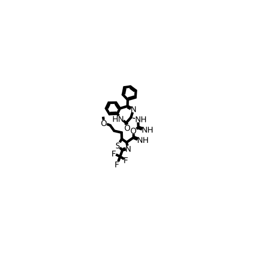 COCCCC1SC(C(F)(F)F)=NC1C(=N)OC(=N)N[C@H]1N=C(c2ccccc2)c2ccccc2NC1=O